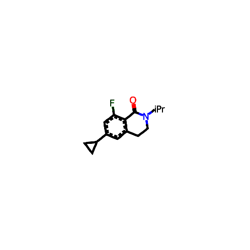 CC(C)N1CCc2cc(C3CC3)cc(F)c2C1=O